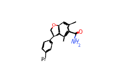 Cc1cc2c(c(C)c1C(N)=O)C(c1ccc(C(C)C)cc1)CO2